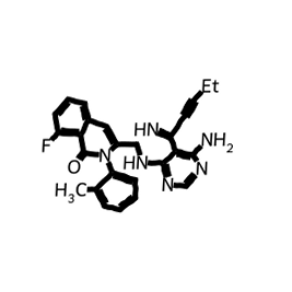 CCC#CC(=N)c1c(N)ncnc1NCc1cc2cccc(F)c2c(=O)n1-c1ccccc1C